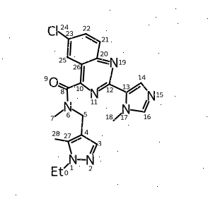 CCn1ncc(CN(C)C(=O)c2nc(-c3cncn3C)nc3ccc(Cl)cc23)c1C